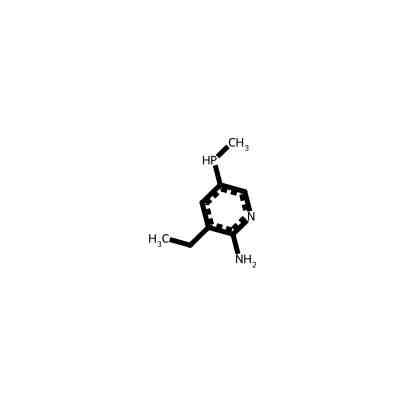 CCc1cc(PC)cnc1N